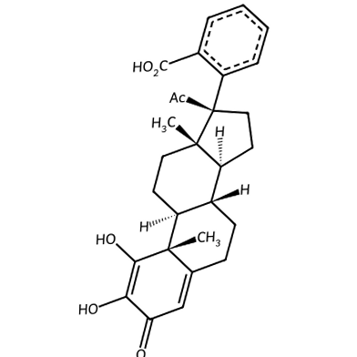 CC(=O)[C@@]1(c2ccccc2C(=O)O)CC[C@H]2[C@@H]3CCC4=CC(=O)C(O)=C(O)[C@]4(C)[C@H]3CC[C@@]21C